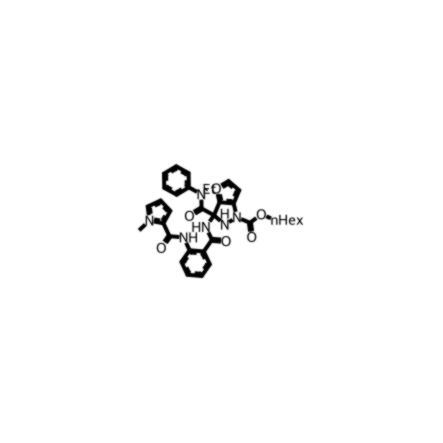 CCCCCCOC(=O)N1NC(NC(=O)c2ccccc2NC(=O)c2cccn2C)(C(=O)N(CC)c2ccccc2)c2occc21